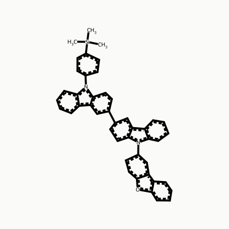 C[Si](C)(C)c1ccc(-n2c3ccccc3c3cc(-c4ccc5c(c4)c4ccccc4n5-c4ccc5oc6ccccc6c5c4)ccc32)cc1